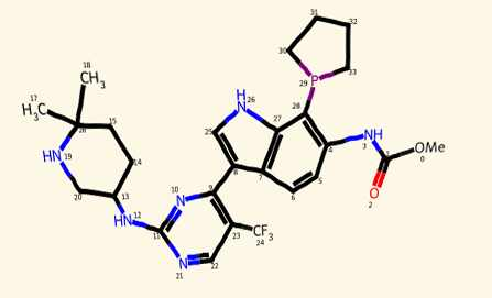 COC(=O)Nc1ccc2c(-c3nc(NC4CCC(C)(C)NC4)ncc3C(F)(F)F)c[nH]c2c1P1CCCC1